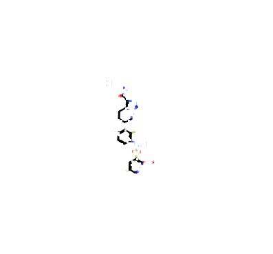 CNC(=O)c1ncn2c1CC[C@@H](c1c(F)ccc(NS(=O)(=O)c3cc(F)cnc3OC)c1F)C2